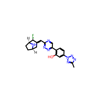 Cc1nnn(-c2ccc(-c3cnc(/C=C4\C[C@H]5CC[C@H](N5)[C@H]4F)nn3)c(O)c2)n1